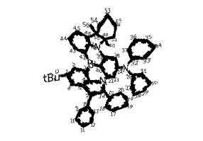 CC(C)(C)c1cc2c3c(c1)c(-c1ccccc1)c(-c1ccccc1)n3-c1cc(N(c3ccccc3)c3ccccc3)cc3c1B2c1cccc2c1N3C1(C)CCCCC21C